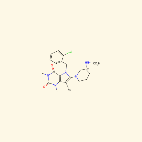 CC(=O)c1c(N2CCC[C@@H](NC(=O)O)C2)n(Cc2ccccc2Cl)c2c(=O)n(C)c(=O)n(C)c12